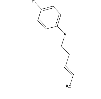 CC(=O)/C=C/CCSc1ccc(F)cc1